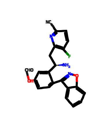 N#Cc1ccc(F)c(C[C@H](N)c2ccccc2-c2noc3ccccc23)n1.O=CO